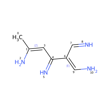 C/C(N)=C/C(=N)/C(C=N)=C/N